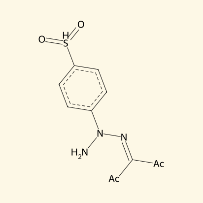 CC(=O)C(=NN(N)c1ccc([SH](=O)=O)cc1)C(C)=O